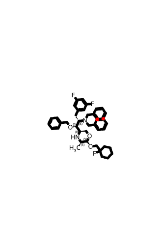 C[C@@H]1N[C@@H]([C@H](OCc2ccccc2)[C@H](Cc2cc(F)cc(F)c2)N(Cc2ccccc2)Cc2ccccc2)CO[C@H]1OCC1(F)CCCCC1